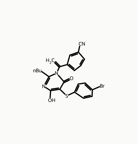 C=C(c1cccc(C#N)c1)n1c(CCCC)nc(O)c(Sc2ccc(Br)cc2)c1=O